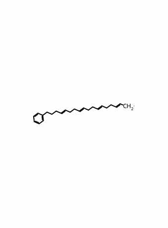 [CH2]C=CCCC=CCCC=CCCC=CCCCc1ccccc1